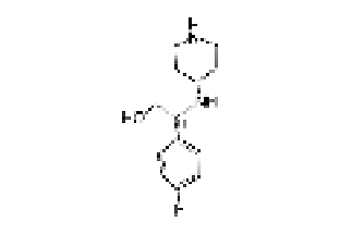 OC[C@H](NC1CCNCC1)c1ccc(F)cc1